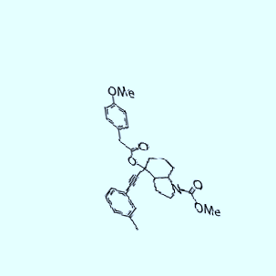 COC(=O)N1CCC2C1CCCC2(C#Cc1cccc(C)c1)OC(=O)Cc1ccc(OC)cc1